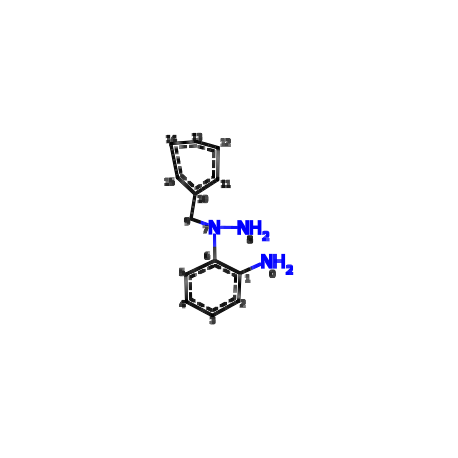 Nc1ccccc1N(N)Cc1ccccc1